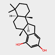 CC1(C)CCC[C@]2(C)[C@H]3Cc4cc(O)cc(O)c4[C@]3(C)CC[C@@H]12